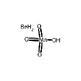 [BeH2].[O]=[Mn](=[O])(=[O])[OH]